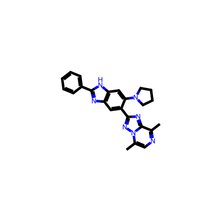 Cc1ncc(C)n2nc(-c3cc4nc(-c5ccccc5)[nH]c4cc3N3CCCC3)nc12